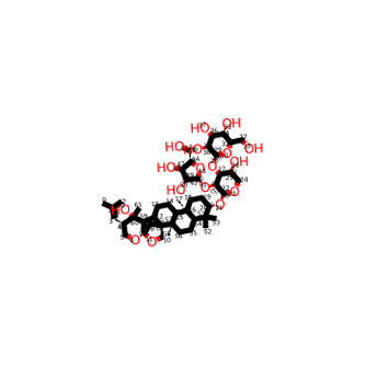 CC(C)=C[C@H]1CO[C@]23C[C@]4(CO2)C(CCC2[C@@]5(C)CC[C@H](O[C@@H]6OC[C@H](O)C(O[C@@H]7OC(CO)[C@@H](O)C(O)[C@@H]7O)[C@@H]6O[C@@H]6O[C@@H](CO)C(O)[C@@H]6O)C(C)(C)C5CC[C@]24C)C3C1(C)O